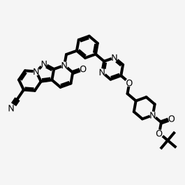 CC(C)(C)OC(=O)N1CCC(COc2cnc(-c3cccc(Cn4c(=O)ccc5c4nn4ccc(C#N)cc54)c3)nc2)CC1